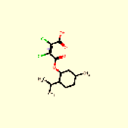 CC1CCC(C(C)C)C(OC(=O)/C(Cl)=C(/Cl)C(=O)O)C1